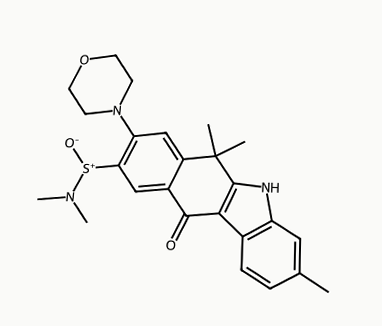 Cc1ccc2c3c([nH]c2c1)C(C)(C)c1cc(N2CCOCC2)c([S+]([O-])N(C)C)cc1C3=O